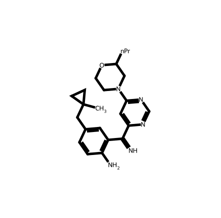 CCCC1CN(c2cc(C(=N)c3cc(CC4(C)CC4)ccc3N)ncn2)CCO1